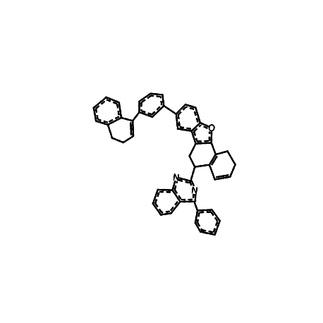 C1=CC2=C(CC1)c1oc3ccc(-c4cccc(C5=CCCc6ccccc65)c4)cc3c1CC2c1nc(-c2ccccc2)c2ccccc2n1